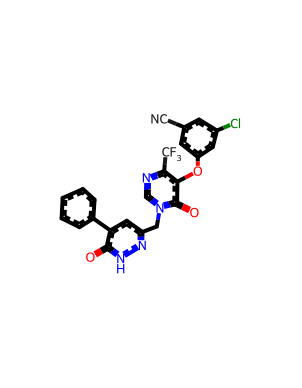 N#Cc1cc(Cl)cc(Oc2c(C(F)(F)F)ncn(Cc3cc(-c4ccccc4)c(=O)[nH]n3)c2=O)c1